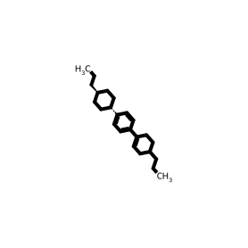 CCCC1CC=C(c2ccc([C@H]3CC[C@H](CCC)CC3)cc2)CC1